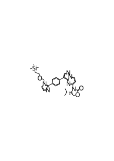 CC(C)[C@H]1COC(=O)N1c1ccn2ncc(-c3ccc(-c4nccn4COCC[Si](C)(C)C)cc3)c2n1